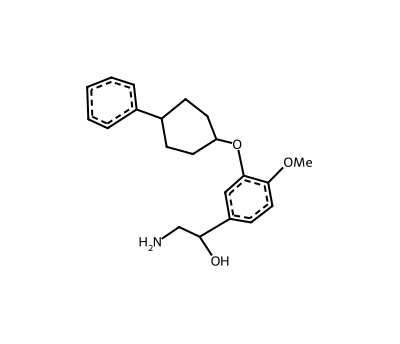 COc1ccc(C(O)CN)cc1OC1CCC(c2ccccc2)CC1